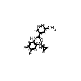 Cc1cc(C(=O)Nc2cc(F)c(F)cc2NC2CC2)cnn1